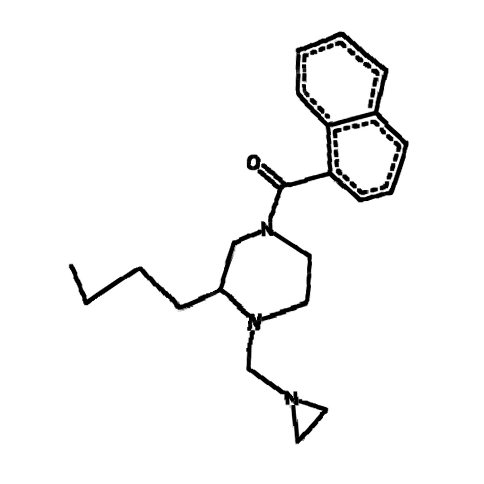 CCCCC1CN(C(=O)c2cccc3ccccc23)CCN1CN1CC1